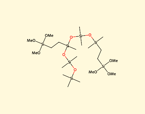 CO[Si](CC[Si](C)(C)O[Si](C)(C)O[Si](C)(CC[Si](OC)(OC)OC)O[Si](C)(C)O[Si](C)(C)C)(OC)OC